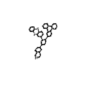 c1ccc2c(c1)Sc1ccc(-c3cc(-c4ccc5cnccc5c4)ccc3-c3ccc4c5ccccc5c5ccccc5c4c3)cc1S2